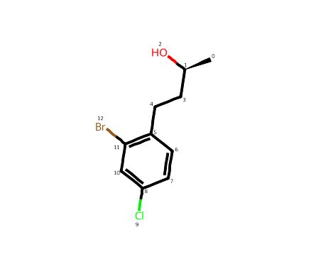 C[C@H](O)CCc1ccc(Cl)cc1Br